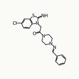 N=c1sc2cc(Cl)ccc2n1CC(=O)N1CCN(N=Cc2ccccc2)CC1